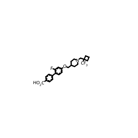 O=C(O)c1ccc(-c2ccc(OCC3CCN(CC4(C(F)(F)F)CCC4)CC3)cc2F)cc1